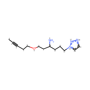 CC#CCCOCCC(N)CCCn1ccnn1